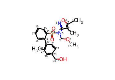 COCN(c1noc(C)c1C)S(=O)(=O)c1ccccc1-c1ccc(CO)cc1C